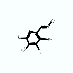 Cc1c(Br)cc(/C=N/O)c(F)c1F